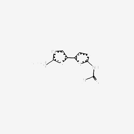 CCCCCCNc1nc(-c2csc(NC(=N)N)n2)c[nH]1